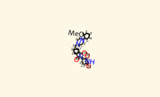 COc1ccccc1N1CCN(Cc2ccc3c(c2)C(=O)N(C2CCC(=O)NC2=O)C3=O)CC1